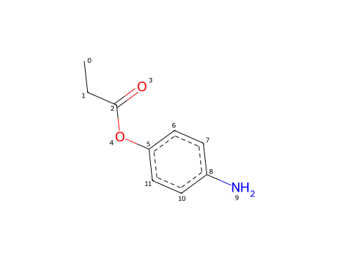 CCC(=O)Oc1ccc(N)cc1